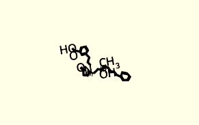 C[C@@H](CCCCc1ccccc1)[C@H](O)CC[C@H]1CCC(=O)N1CCCc1cccc(C(=O)O)c1